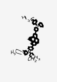 C=C/C=C(\C=C/C)N(C1=CC=C(c2cc3ccc4cc(-c5ccc(N(c6ccccc6)c6ccc(C)cc6)cc5)cc5ccc(c2)c3c45)CC1)c1ccc(C)cc1